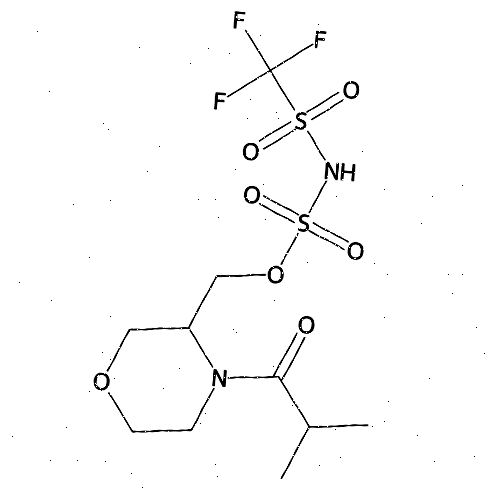 CC(C)C(=O)N1CCOCC1COS(=O)(=O)NS(=O)(=O)C(F)(F)F